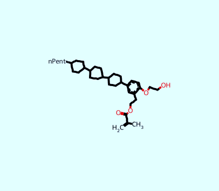 C=C(C)C(=O)OCCc1cc(C2CCC(C3CCC(C4CCC(CCCCC)CC4)CC3)CC2)ccc1OCCO